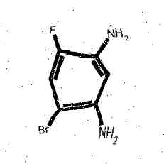 Nc1cc(N)c(Br)cc1F